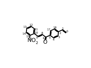 C=Cc1ccc(C(=O)C=Cc2ccccc2[N+](=O)[O-])cc1